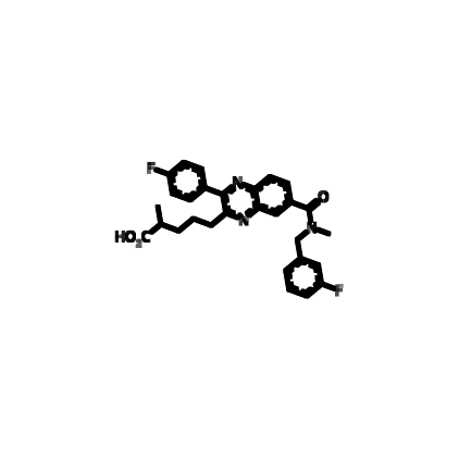 CC(CCCc1nc2cc(C(=O)N(C)Cc3cccc(F)c3)ccc2nc1-c1ccc(F)cc1)C(=O)O